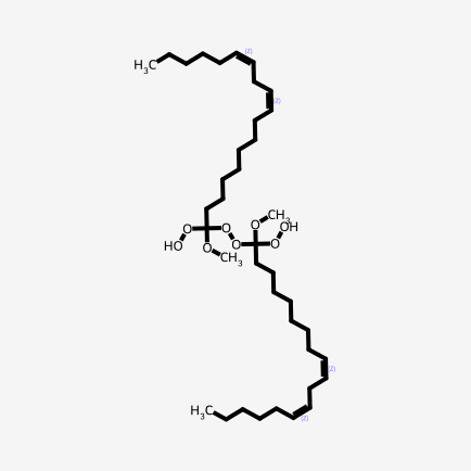 CCCCC/C=C\C/C=C\CCCCCCCC(OC)(OO)OOC(CCCCCCC/C=C\C/C=C\CCCCC)(OC)OO